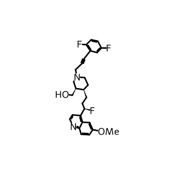 COc1ccc2nccc([C@H](F)CC[C@@H]3CCN(CC#Cc4cc(F)ccc4F)C[C@@H]3CO)c2c1